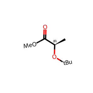 COC(=O)[C@@H](C)OC(C)(C)C